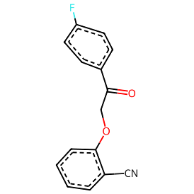 N#Cc1ccccc1OCC(=O)c1ccc(F)cc1